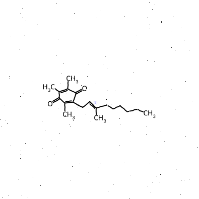 CCCCCC/C(C)=C/CC1=C(C)C(=O)C(C)=C(C)C1=O